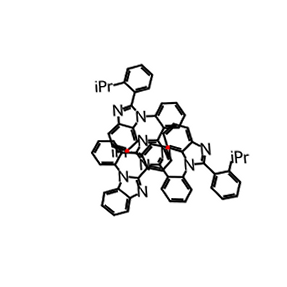 CC(C)c1ccccc1-c1nc2ccccc2n1-c1ccccc1-c1nc(-c2ccccc2-n2c(-c3ccccc3C(C)C)nc3ccccc32)nc(-c2ccccc2-n2c(-c3ccccc3C(C)C)nc3ccccc32)n1